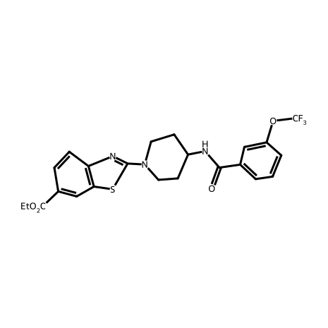 CCOC(=O)c1ccc2nc(N3CCC(NC(=O)c4cccc(OC(F)(F)F)c4)CC3)sc2c1